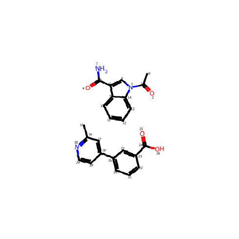 CC(=O)n1cc(C(N)=O)c2ccccc21.Cc1cc(-c2cccc(C(=O)O)c2)ccn1